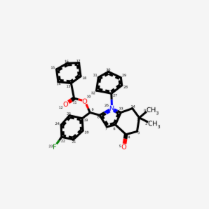 CC1(C)CC(=O)c2cc(C(OC(=O)c3ccccc3)c3ccc(F)cc3)n(-c3ccccc3)c2C1